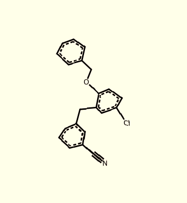 N#Cc1cccc(Cc2cc(Cl)ccc2OCc2ccccc2)c1